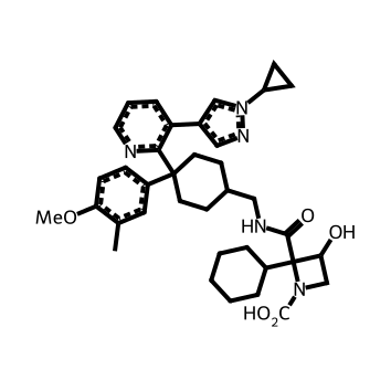 COc1ccc(C2(c3ncccc3-c3cnn(C4CC4)c3)CCC(CNC(=O)C3(C4CCCCC4)C(O)CN3C(=O)O)CC2)cc1C